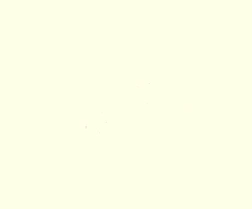 CCc1nc(CCN)nn1Cc1ccc(-c2ccccc2-c2nnn[nH]2)cc1